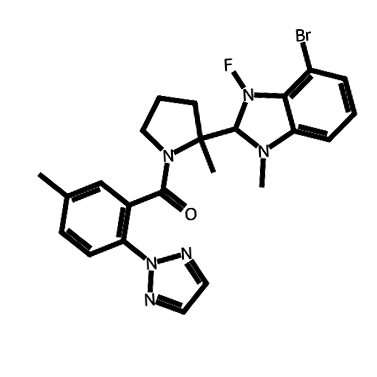 Cc1ccc(-n2nccn2)c(C(=O)N2CCCC2(C)C2N(C)c3cccc(Br)c3N2F)c1